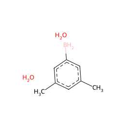 Bc1cc(C)cc(C)c1.O.O